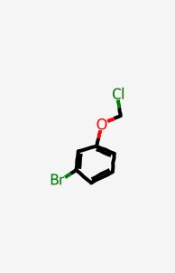 ClCOc1cccc(Br)c1